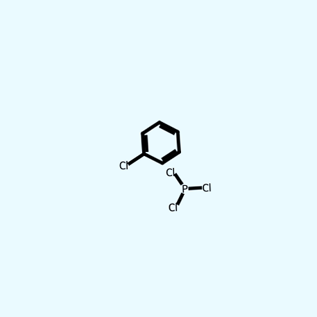 ClP(Cl)Cl.Clc1ccccc1